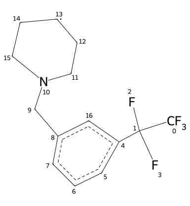 FC(F)(F)C(F)(F)c1cccc(CN2CC[CH]CC2)c1